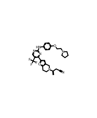 C=C(CC#N)N1CCc2oc(-c3nc(Nc4ccc(OCCN5CCCC5)cc4)ncc3C(F)(F)F)cc2C1